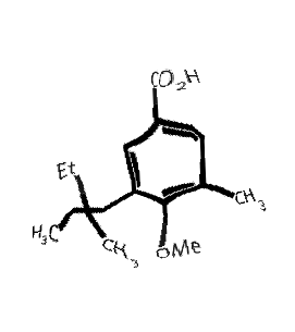 CCC(C)(C)c1cc(C(=O)O)cc(C)c1OC